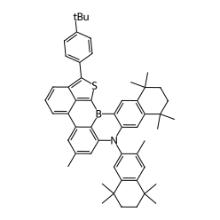 Cc1cc2c3c(c1)N(c1cc4c(cc1C)C(C)(C)CCC4(C)C)c1cc4c(cc1B3c1sc(-c3ccc(C(C)(C)C)cc3)c3cccc-2c13)C(C)(C)CCC4(C)C